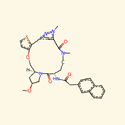 CO[C@H]1C[C@H]2COc3ccsc3-c3cc(n(C)n3)C(=O)N(C)CC[C@H](NC(=O)Cc3ccc4ccccc4c3)C(=O)N2C1